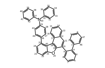 c1ccc(-c2ccccc2-c2cc3ccccc3c3c2oc2cccc(-c4ccc(N(c5ccccc5)c5ccccc5)cc4)c23)cc1